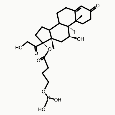 C[C@]12CCC(=O)C=C1CCC1C3CC[C@](OC(=O)CCCON(O)O)(C(=O)CO)[C@@]3(C)C[C@H](O)[C@@H]12